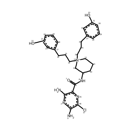 Nc1nc(N)c(C(=O)NC2CCC[N+](CCCc3cccc(O)c3)(CCCc3cccc(O)c3)C2)nc1Cl